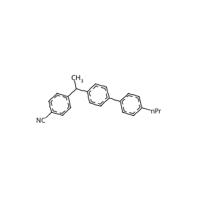 CCCc1ccc(-c2ccc(C(C)c3ccc(C#N)cc3)cc2)cc1